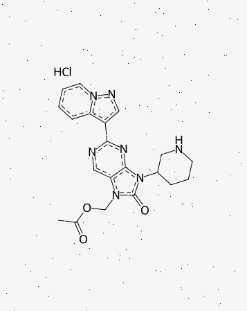 CC(=O)OCn1c(=O)n(C2CCCNC2)c2nc(-c3cnn4ccccc34)ncc21.Cl